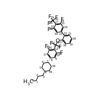 CCCC[C@H]1CC[C@H](c2cc(F)c(C(F)(F)Oc3ccccc3-c3cc(F)c(C(F)(F)F)c(F)c3)c(F)c2)CC1